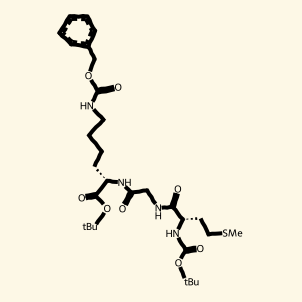 CSCC[C@H](NC(=O)OC(C)(C)C)C(=O)NCC(=O)N[C@@H](CCCCNC(=O)OCc1ccccc1)C(=O)OC(C)(C)C